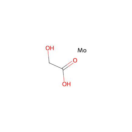 O=C(O)CO.[Mo]